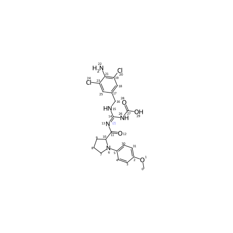 COc1ccc(N2CCCC2C(=O)/N=C(/NCc2cc(Cl)c(N)c(Cl)c2)NC(=O)O)cc1